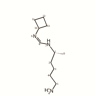 C[C@H](CCCCN)N/C=N\C1CCC1